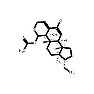 CC[C@H]1CC[C@H]2[C@@H]3C=C(Cl)C4=CCOC(OC(C)=O)[C@]4(C)[C@H]3CC[C@]12C